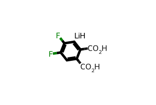 O=C(O)c1cc(F)c(F)cc1C(=O)O.[LiH]